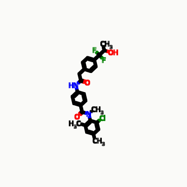 Cc1cc(C)c(N(C)C(=O)c2ccc(NC(=O)Cc3ccc(C(F)(F)C(C)O)cc3)cc2)c(Cl)c1